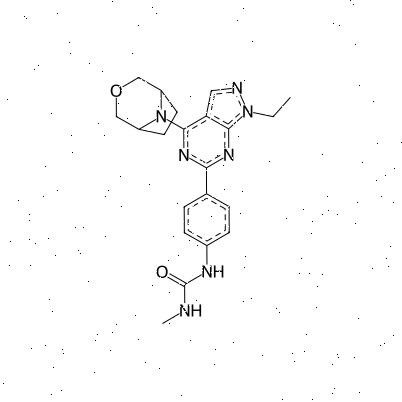 CCn1ncc2c(N3C4CCC3COC4)nc(-c3ccc(NC(=O)NC)cc3)nc21